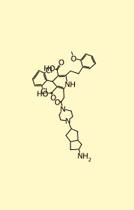 COc1ccccc1CCC1=C(C(=O)O)C(c2c(Cl)cccc2Cl)C(C(=O)O)=C(CC(=O)N2CCN(C3CC4CC(N)CC4C3)CC2)N1